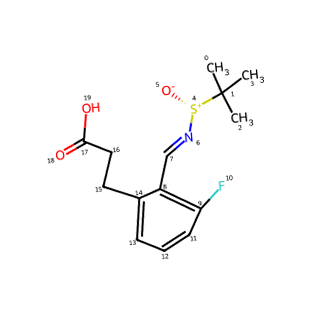 CC(C)(C)[S@@+]([O-])N=Cc1c(F)cccc1CCC(=O)O